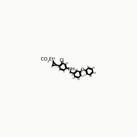 CCOC(=O)C1CC1c1ccc(NCc2cccc(Oc3ccccc3)c2)cc1Cl